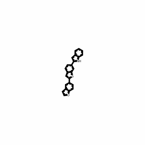 c1ccc2[nH]c(-c3ccc4cc(-c5ccc6occc6c5)sc4c3)cc2c1